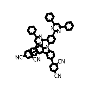 N#Cc1ccc(-c2ccc3c(c2)c2cc(-c4ccc(C#N)cc4C#N)ccc2n3-c2ccc(-c3nc(-c4ccccc4)cc(-c4ccccc4)n3)cc2-c2nc(-c3ccccc3)cc(-c3ccccc3)n2)c(C#N)c1